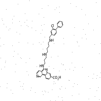 O=C(O)c1ccc2c(c1)nc(NCCCNCCCCNCc1ccc(-c3ccccc3)c(Cl)c1)c1ccncc12